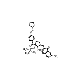 C[Si](C)(C)CCC1(C(=O)c2ccc(OCC3CCCC3)cc2)CCC(Cn2nnc3ccc(C(F)(F)F)cc3c2=O)C1C(=O)O